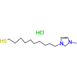 CN1C=CN(CCCCCCCCCCS)C1.Cl